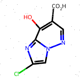 O=C(O)c1cnn2cc(Cl)nc2c1O